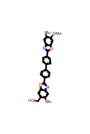 COc1cc2oc(-c3ccc(-c4ccc(-c5nc6cc(C(C)(C)C)c(CO)cc6o5)cc4)cc3)nc2cc1C(C)(C)C